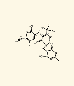 Cc1nc(N)c(Cn2cnc(C(C)(F)F)c(Oc3cc(F)c(C#N)cc3Cl)c2=O)c(=O)[nH]1